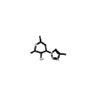 Cc1cn(C2CC(C)OC(C)C2O)nn1